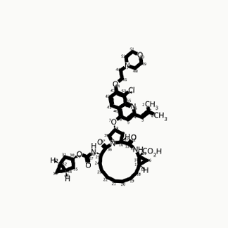 CC(C)=Cc1cc(O[C@@H]2C[C@H]3C(=O)N[C@]4(C(=O)O)C[C@H]4CCCCCCC[C@H](NC(=O)O[C@@H]4C[C@@H]5C[C@@H]5C4)C(=O)N3C2)c2ccc(OCCN3CCOCC3)c(Cl)c2n1